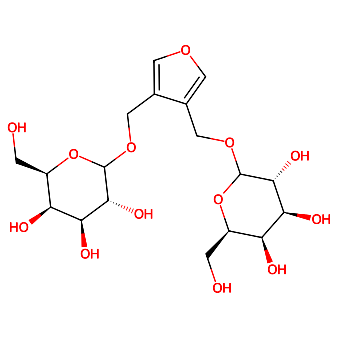 OC[C@H]1OC(OCc2cocc2COC2O[C@H](CO)[C@H](O)[C@H](O)[C@H]2O)[C@H](O)[C@@H](O)[C@H]1O